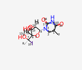 Cc1cn([C@@H]2OC3([C@](C)(O)I)[C@H](C)O[C@@H]2[C@@H]3O)c(=O)[nH]c1=O